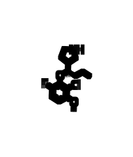 CCC[C@@H](Oc1c(F)ccc(OC)c1Cl)C1CCNC1